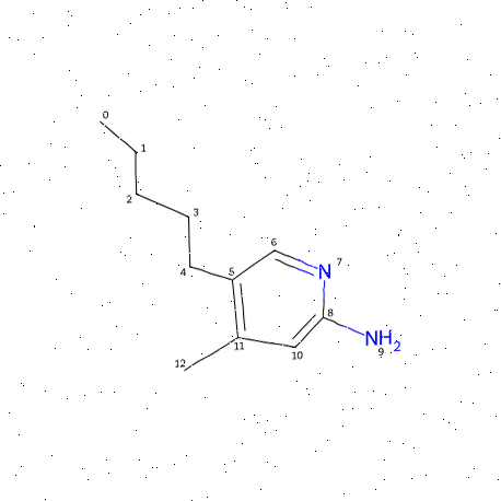 CCCCCc1cnc(N)cc1C